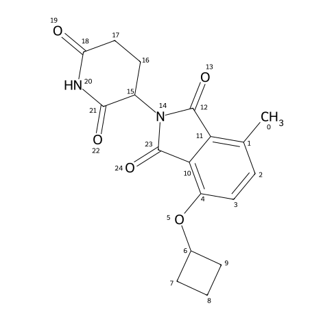 Cc1ccc(OC2CCC2)c2c1C(=O)N(C1CCC(=O)NC1=O)C2=O